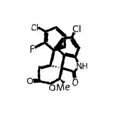 CO[C@H]1CC(=O)CC(c2cccc(Cl)c2F)[C@]12C(=O)Nc1cc(Cl)ccc12